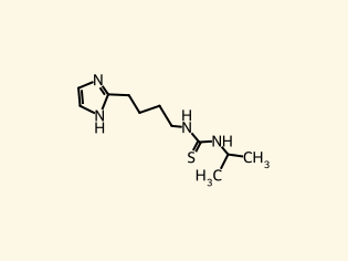 CC(C)NC(=S)NCCCCc1ncc[nH]1